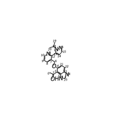 CC(=O)c1c(OCc2cccnc2-c2ccnn2C(C)C)ccc2nc[nH]c12